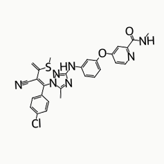 C=C(SC)/C(C#N)=C(/c1ccc(Cl)cc1)n1nc(Nc2cccc(Oc3ccnc(C(=O)NC)c3)c2)nc1C